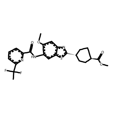 COc1cc2nc([C@H]3CC[C@H](C(=O)OC)CC3)sc2cc1NC(=O)c1cccc(C(C)(F)F)n1